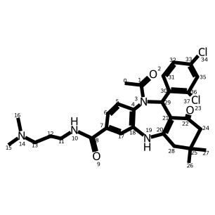 CC(=O)N1c2ccc(C(=O)NCCCN(C)C)cc2NC2=C(C(=O)CC(C)(C)C2)C1c1ccc(Cl)cc1Cl